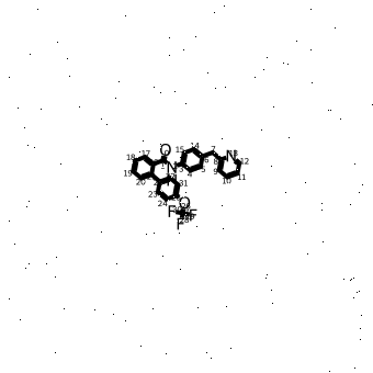 O=C(Nc1ccc(Cc2ccccn2)cc1)c1ccccc1-c1ccc(OC(F)(F)F)cc1